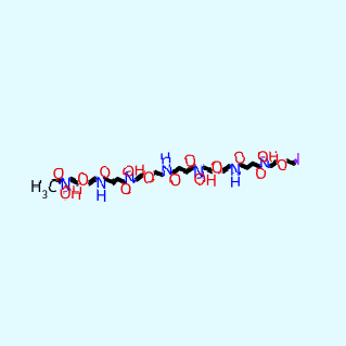 CC(=O)N(O)CCOCCNC(=O)CCC(=O)N(O)CCOCCNC(=O)CCC(=O)N(O)CCOCCNC(=O)CCC(=O)N(O)CCOCCI